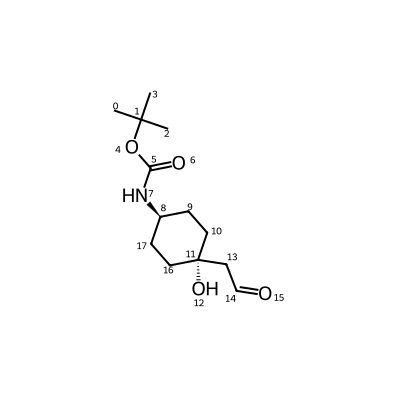 CC(C)(C)OC(=O)N[C@H]1CC[C@@](O)(CC=O)CC1